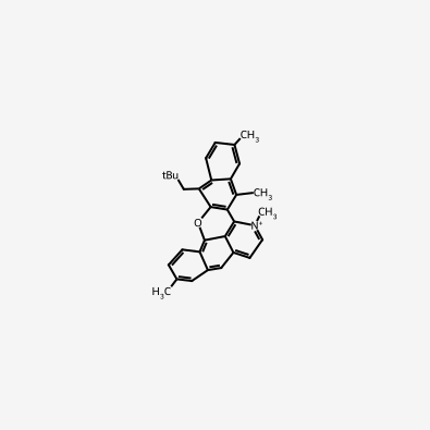 Cc1ccc2c3c4c([n+](C)ccc4cc2c1)-c1c(c(CC(C)(C)C)c2ccc(C)cc2c1C)O3